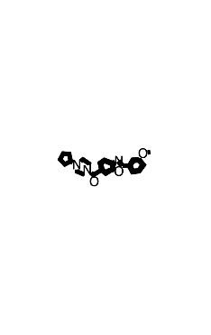 COc1cccc(-c2nc3ccc(C(=O)N4CCN(C5CCCC5)CC4)cc3o2)c1